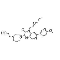 CCCOCCn1c(=O)c(N2CCCN(CCO)CC2)nc2cnc(-c3ccc(OC)nc3)cc21